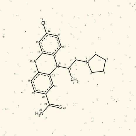 CC(CN1CCCC1)N1c2ccc(Cl)cc2Sc2ccc(C(N)=S)cc21